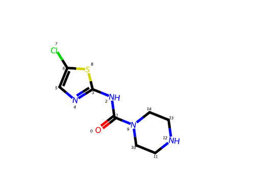 O=C(Nc1ncc(Cl)s1)N1CCNCC1